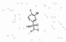 N=S(=O)(c1ccc(F)c(Br)c1)C(F)F